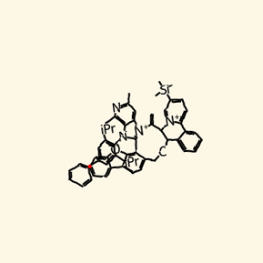 C=C1C2C(CCc3ccc4c(oc5ccccc54)c3-c3n(-c4c(C(C)C)cc(-c5ccccc5)cc4C(C)C)c4c(C)nc(C)cc4[n+]31)c1ccccc1-c1ccc([Si](C)(C)C)c[n+]12